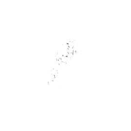 Cc1c(Cc2cccc(OC(C)(C)C(=O)O)c2)c2ccc(C(=O)N[C@@H](C)c3cccc(C(C)(C)C)c3)cc2n1CC(C)(C)C